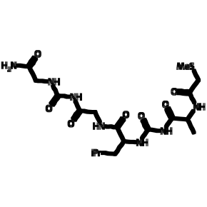 CSCC(=O)NC(C)C(=O)NC(=O)NC(CC(C)C)C(=O)NCC(=O)NC(=O)NCC(N)=O